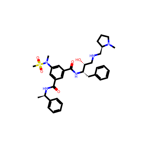 C[C@@H](NC(=O)c1cc(C(=O)N[C@@H](Cc2ccccc2)[C@H](O)CNC[C@H]2CCCN2C)cc(N(C)S(C)(=O)=O)c1)c1ccccc1